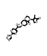 CC1=C(N2CCOC3(CCN(CC(O)c4cnc(-n5cnnn5)nc4)CC3)C2=O)COC1=O